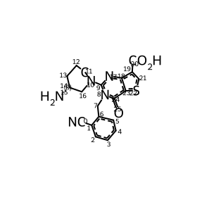 N#Cc1ccccc1Cn1c(N2CCC[C@@H](N)C2)nc2c(C(=O)O)csc2c1=O